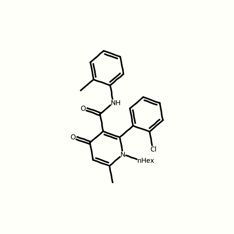 CCCCCCn1c(C)cc(=O)c(C(=O)Nc2ccccc2C)c1-c1ccccc1Cl